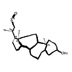 C[C@H](C[S+]=O)[C@H]1CCC2C3CCC4CC(O)CC[C@]4(C)C3CC[C@@]21C